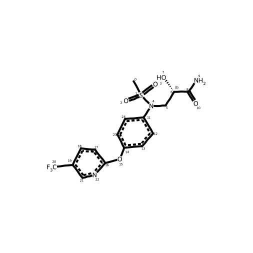 CS(=O)(=O)N(C[C@H](O)C(N)=O)c1ccc(Oc2ccc(C(F)(F)F)cn2)cc1